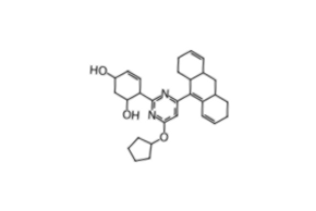 OC1C=CC(c2nc(OC3CCCC3)cc(C3=C4C=CCCC4CC4C=CCCC34)n2)C(O)C1